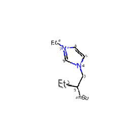 CCCCC(CC)Cn1cc[n+](CC)c1